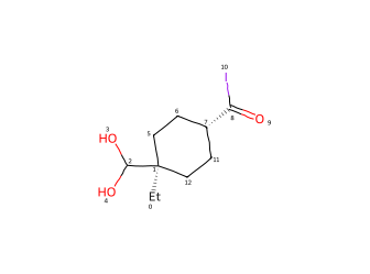 CC[C@]1(C(O)O)CC[C@H](C(=O)I)CC1